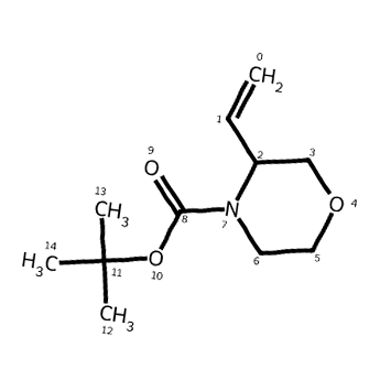 C=CC1COCCN1C(=O)OC(C)(C)C